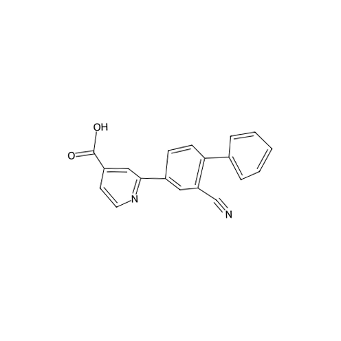 N#Cc1cc(-c2cc(C(=O)O)ccn2)ccc1-c1ccccc1